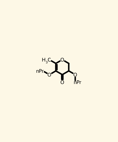 CCCOC1=C(C)OCC(OCCC)C1=O